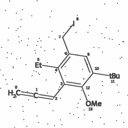 C=C=Cc1c(CC)c(CI)cc(C(C)(C)C)c1OC